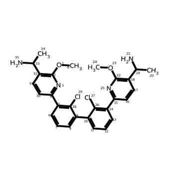 COc1nc(-c2cccc(-c3cccc(-c4ccc(C(C)N)c(OC)n4)c3Cl)c2Cl)ccc1C(C)N